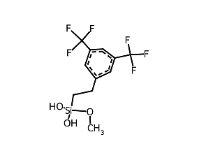 CO[Si](O)(O)CCc1cc(C(F)(F)F)cc(C(F)(F)F)c1